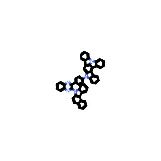 c1ccc2c(c1)ccc1c2c2ccccc2n1-c1nc2ccccc2nc1-c1ccc(-n2c3ccccc3c3c4c5ccccc5n5c6ccccc6c(cc32)c45)cc1